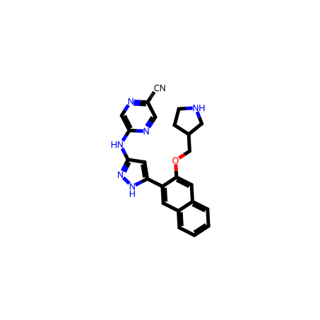 N#Cc1cnc(Nc2cc(-c3cc4ccccc4cc3OCC3CCNC3)[nH]n2)cn1